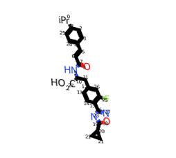 CC(C)c1ccc(/C=C/C(=O)NC(Cc2ccc(-c3noc(C4CC4)n3)c(F)c2)C(=O)O)cc1